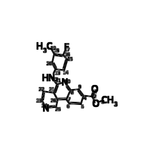 COC(=O)c1ccc2c(c1)nc(Nc1ccc(F)c(C)c1)c1ccncc12